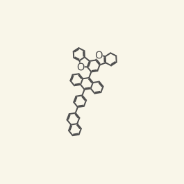 C1=Cc2c(oc3c2cc(-c2c4ccccc4c(-c4ccc(-c5ccc6ccccc6c5)cc4)c4ccccc24)c2oc4ccccc4c23)CC1